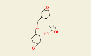 C1CC2OC2CC1COCC1CCC2OC2C1.CC(O)O